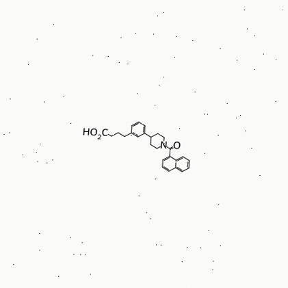 O=C(O)CCCc1cccc(C2CCN(C(=O)c3cccc4ccccc34)CC2)c1